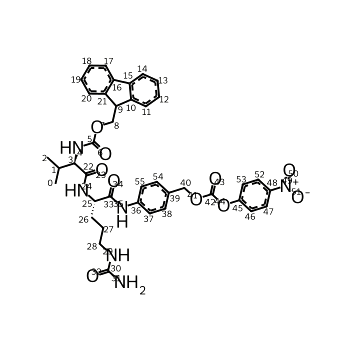 CC(C)[C@@H](NC(=O)OCC1c2ccccc2-c2ccccc21)C(=O)N[C@@H](CCCNC(N)=O)C(=O)Nc1ccc(COC(=O)Oc2ccc([N+](=O)[O-])cc2)cc1